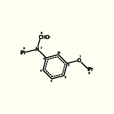 CC(C)Oc1cccc(N([C]=O)C(C)C)c1